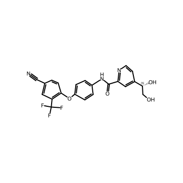 N#Cc1ccc(Oc2ccc(NC(=O)c3cc([C@H](O)CO)ccn3)cc2)c(C(F)(F)F)c1